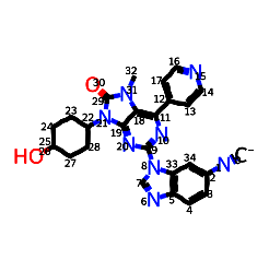 [C-]#[N+]c1ccc2ncn(-c3nc(-c4ccncc4)c4c(n3)n(C3CCC(O)CC3)c(=O)n4C)c2c1